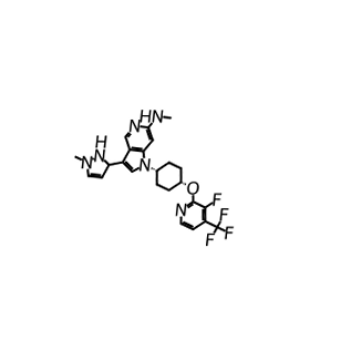 CNc1cc2c(cn1)c(C1C=CN(C)N1)cn2[C@H]1CC[C@@H](Oc2nccc(C(F)(F)F)c2F)CC1